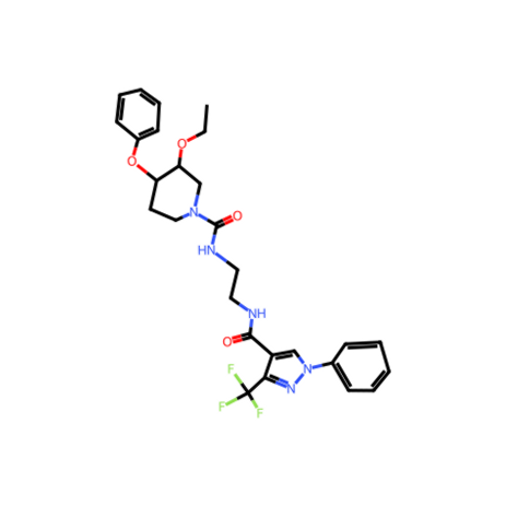 CCOC1CN(C(=O)NCCNC(=O)c2cn(-c3ccccc3)nc2C(F)(F)F)CCC1Oc1ccccc1